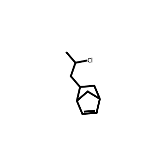 CC(Cl)CC1CC2C=CC1C2